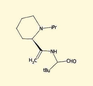 C=C(NC(C=O)C(C)(C)C)[C@H]1CCCCN1C(C)C